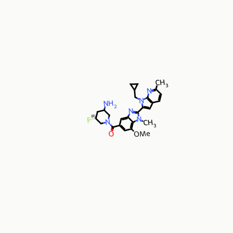 COc1cc(C(=O)N2CC(N)C[C@@H](F)C2)cc2nc(-c3cc4ccc(C)nc4n3CC3CC3)n(C)c12